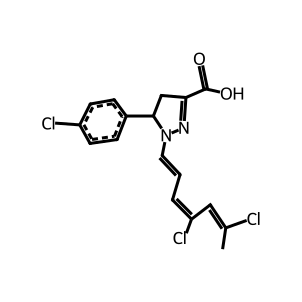 C\C(Cl)=C/C(Cl)=C\C=C\N1N=C(C(=O)O)CC1c1ccc(Cl)cc1